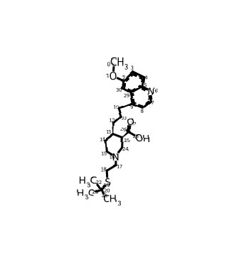 COc1ccc2nccc(CCC[C@@H]3CCN(CCSC(C)(C)C)C[C@@H]3C(=O)O)c2c1